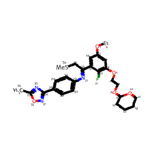 CCOc1cc(OCCOC2CCCCO2)c(F)c(C([C]SC)=Nc2ccc(-c3noc(C)n3)cc2)c1